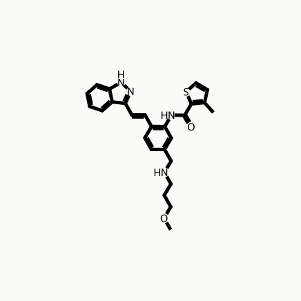 COCCCNCc1ccc(C=Cc2n[nH]c3ccccc23)c(NC(=O)c2sccc2C)c1